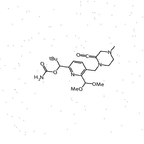 COC(OC)c1nc(C(OC(N)=O)C(C)(C)C)ccc1CN1CCN(C)CC1=C=O